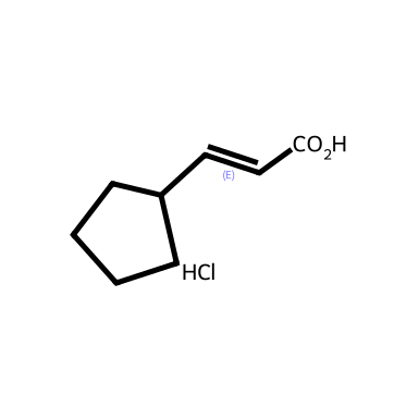 Cl.O=C(O)/C=C/C1CCCC1